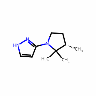 C[C@H]1CCN(c2cc[nH]n2)C1(C)C